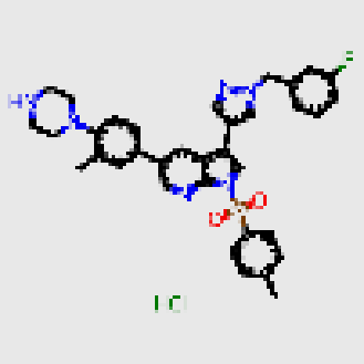 Cc1ccc(S(=O)(=O)n2cc(-c3cnn(Cc4cccc(F)c4)c3)c3cc(-c4ccc(N5CCNCC5)c(C)c4)cnc32)cc1.Cl